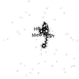 COc1cc(O)c2c3c1O[C@H]1[C@H](N(CC(C)C)C(=O)CCCCCc4ccccc4)CC[C@H]4[C@@H](C2)N(CC2CC2)CC[C@@]341